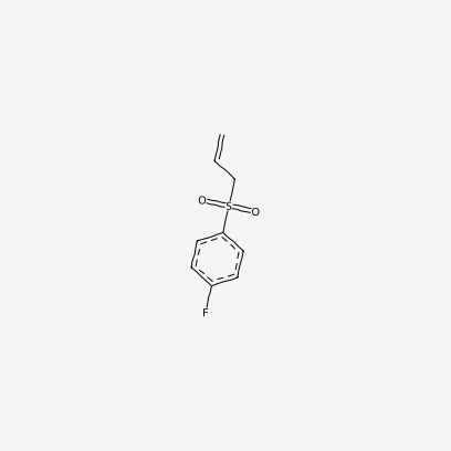 C=CCS(=O)(=O)c1ccc(F)cc1